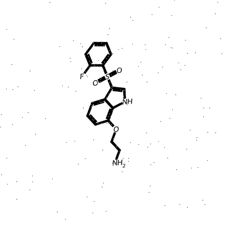 NCCOc1cccc2c(S(=O)(=O)c3ccccc3F)c[nH]c12